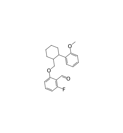 COc1ccccc1C1CCCCC1COc1cccc(F)c1C=O